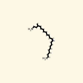 CC(CCN)CCCCCCCC/C=C\CCCCCCCCN